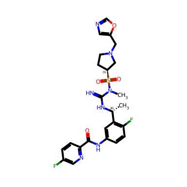 C[C@@H](NC(=N)N(C)S(=O)(=O)[C@H]1CCN(Cc2cnco2)C1)c1cc(NC(=O)c2ccc(F)cn2)ccc1F